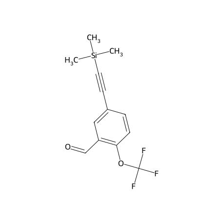 C[Si](C)(C)C#Cc1ccc(OC(F)(F)F)c(C=O)c1